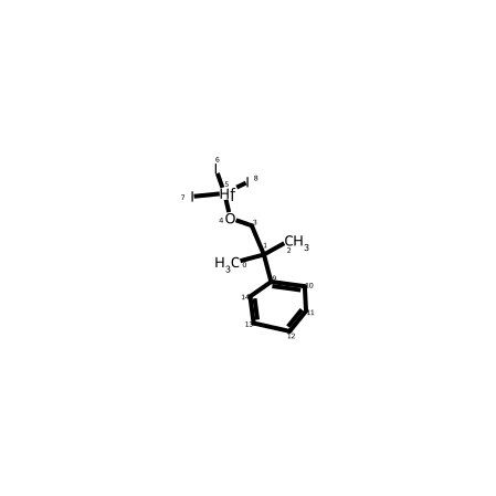 CC(C)(C[O][Hf]([I])([I])[I])c1ccccc1